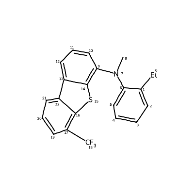 CCc1ccccc1N(C)c1cccc2c1sc1c(C(F)(F)F)cccc12